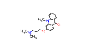 CN(C)CCCOc1ccc2c(=O)c3ccccc3n(C)c2c1